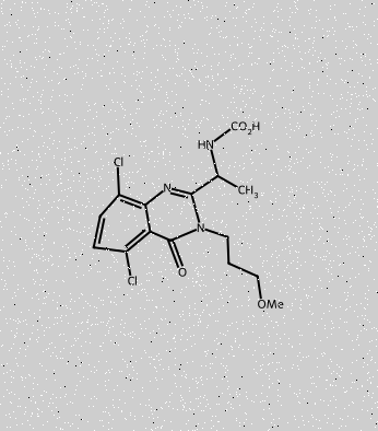 COCCCn1c(C(C)NC(=O)O)nc2c(Cl)ccc(Cl)c2c1=O